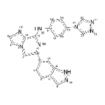 c1cn2cc(-c3ccc4cn[nH]c4c3)nc(Nc3ccc(-n4cnnc4)cc3)c2n1